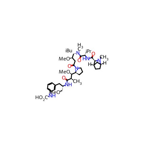 CC[C@H](C)[C@@H]([C@@H](CC(=O)N1CCC[C@H]1[C@H](OC)[C@@H](C)C(=O)N[C@H](COC)Cc1cccc(NC(=O)O)c1)OC)N(C)C(=O)[C@@H](NC(=O)[C@@H]1[C@H]2CC[C@H](C2)N1C)C(C)C